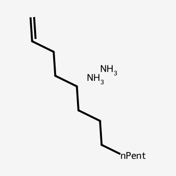 C=CCCCCCCCCCCC.N.N